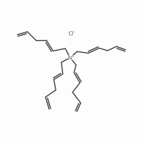 C=CCC=CC[N+](CC=CCC=C)(CC=CCC=C)CC=CCC=C.[Cl-]